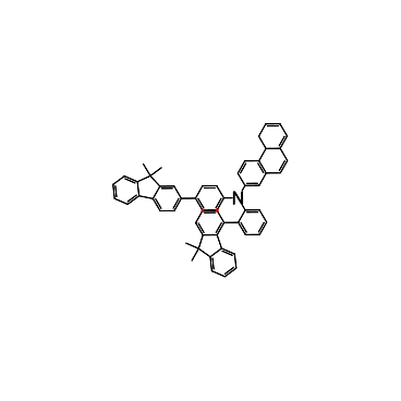 CC1(C)c2ccccc2-c2ccc(-c3ccc(N(c4ccc5c(c4)C=CC4=CC=CCC45)c4ccccc4-c4cccc5c4-c4ccccc4C5(C)C)cc3)cc21